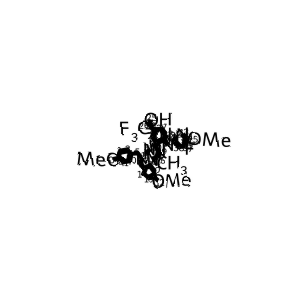 COc1ccc(CN(Cc2ccc(OC)cc2)c2nc(C)nc(-c3cc(C(O)C(F)(F)F)cnc3Nc3cnc(OC)c(F)c3)n2)cc1